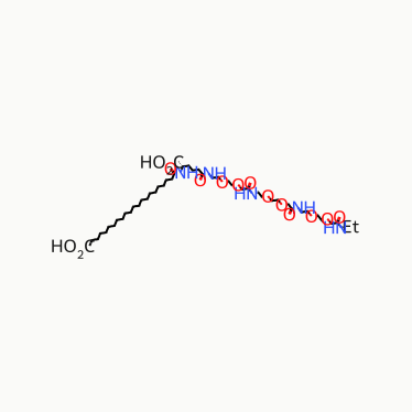 CCNC(=O)COCCOCCNC(=O)COCCOCCNC(=O)COCCOCCNC(=O)CCC[C@H](NC(=O)CCCCCCCCCCCCCCCCCCCCC(=O)O)C(=O)O